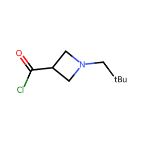 CC(C)(C)CN1CC(C(=O)Cl)C1